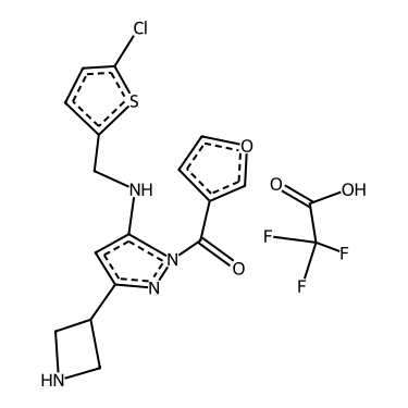 O=C(O)C(F)(F)F.O=C(c1ccoc1)n1nc(C2CNC2)cc1NCc1ccc(Cl)s1